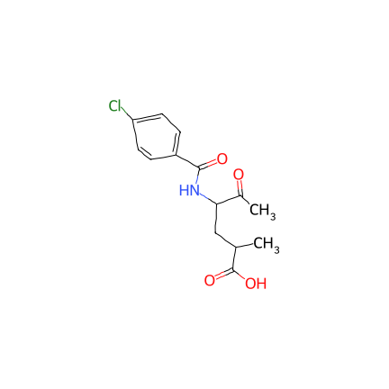 CC(=O)C(CC(C)C(=O)O)NC(=O)c1ccc(Cl)cc1